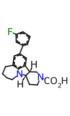 O=C(O)N1CC[C@H]2[C@@H](C1)c1cc(-c3cccc(F)c3)cc3c1N2CCCC3